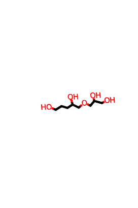 OCCCC(O)COCC(O)CO